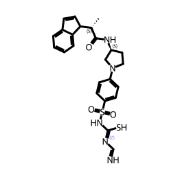 C[C@H](C(=O)N[C@H]1CCN(c2ccc(S(=O)(=O)N/C(S)=N/C=N)cc2)C1)C1C=Cc2ccccc21